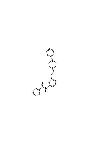 O=C(Nc1cccc(CCN2CCN(c3ccccc3)CC2)c1)c1cnccn1